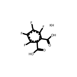 O=C(O)c1c(F)c(F)c(F)c(F)c1C(=O)O.[KH]